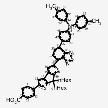 CCCCCCC1(CCCCCC)c2sc(-c3ccc(C(=O)O)cc3)cc2-c2cc(-c3ccc(-c4ccc(N(c5ccc(C)cc5)c5ccc(C)cc5)cc4)c4nsnc34)sc21